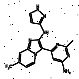 Cc1nc(N)cc(-c2c(Nc3cc[nH]n3)nc3cc(C(F)(F)F)ccn23)n1